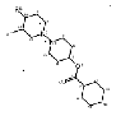 O=C(OC1CCN(N2CCC(F)C(F)C2)CC1)C1CCCCC1